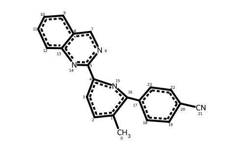 Cc1ccc(-c2ncc3ccccc3n2)nc1-c1ccc(C#N)cc1